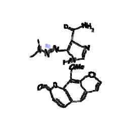 CN(C)/N=N/c1[nH]cnc1C(N)=O.COc1c2occc2cc2ccc(=O)oc12